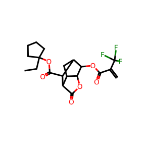 C=C(C(=O)OC1C2CC3C1OC(=O)C3C2C(=O)OC1(CC)CCCC1)C(F)(F)F